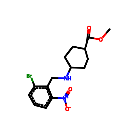 COC(=O)C1CCC(NCc2c(Br)cccc2[N+](=O)[O-])CC1